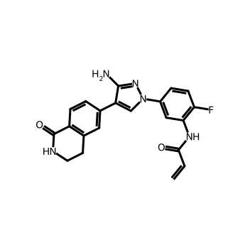 C=CC(=O)Nc1cc(-n2cc(-c3ccc4c(c3)CCNC4=O)c(N)n2)ccc1F